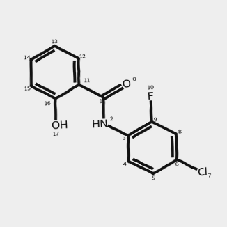 O=C(Nc1ccc(Cl)cc1F)c1ccccc1O